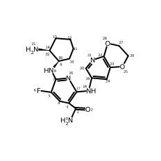 NC(=O)c1cc(F)c(N[C@@H]2CCCC[C@@H]2N)nc1Nc1cnc2c(c1)OCCO2